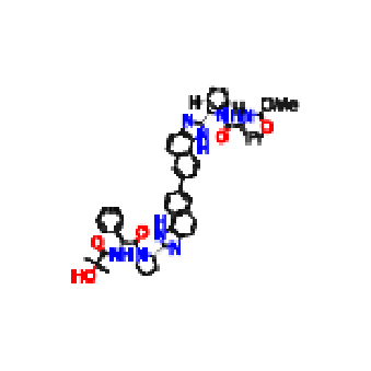 COC(=O)N[C@H](C(=O)N1[C@@H]2CC[C@@H](C2)[C@H]1c1nc2ccc3cc(-c4ccc5c(ccc6nc([C@@H]7CCCN7C(=O)[C@H](NC(=O)C(C)(C)O)c7ccccc7)[nH]c65)c4)ccc3c2[nH]1)C(C)C